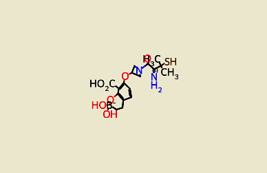 CC(C)(S)[C@@H](N)C(=O)N1CC(Oc2ccc3c(c2C(=O)O)O[B-](O)(O)CC3)C1